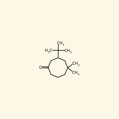 CC1(C)CCCC(=O)CC(C(C)(C)C)C1